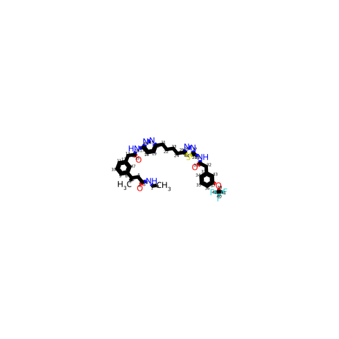 CCNC(=O)CC(C)c1cccc(CC(=O)Nc2ccc(CCCCc3nnc(NC(=O)Cc4cccc(OC(F)(F)F)c4)s3)nn2)c1